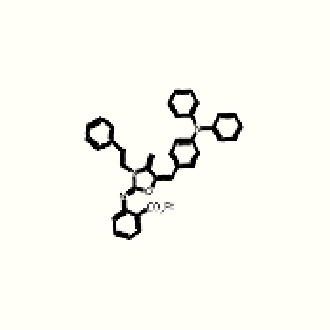 C=c1/c(=C\c2ccc(N(c3ccccc3)c3ccccc3)cc2)o/c(=N\c2ccccc2C(=O)OCC)n1CCc1ccccc1